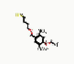 COc1cc(COCCCCS)c([N+](=O)[O-])cc1O[CH2][Rf]